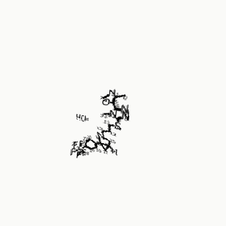 Cc1ncoc1-c1nnc(SCCCN2C[C@@H]3C[C@]3(c3ccc(S(F)(F)(F)(F)F)cc3)C2)n1C.Cl